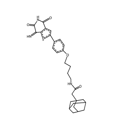 N=C1C(=O)NC(=O)c2cc(-c3ccc(OCCCCNC(=O)CC45CC6CC(CC(C6)C4)C5)cc3)sc21